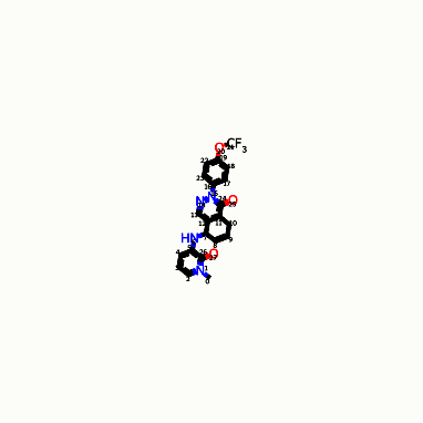 Cn1cccc(NC2C=CCc3c2cnn(-c2ccc(OC(F)(F)F)cc2)c3=O)c1=O